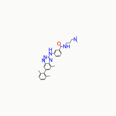 Cc1cccc(C)c1-c1cc(C)c2nc(Nc3cccc(C(=O)NCCCN(C)C)c3)nnc2c1